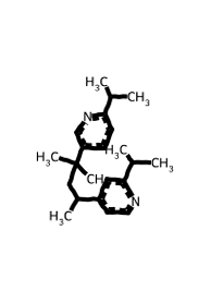 CC(C)c1ccc(C(C)(C)CC(C)c2ccnc(C(C)C)c2)cn1